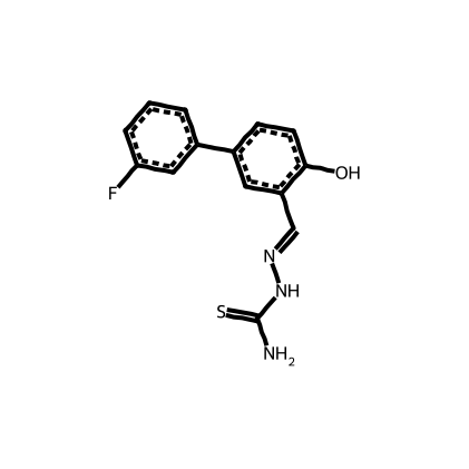 NC(=S)NN=Cc1cc(-c2cccc(F)c2)ccc1O